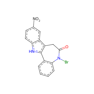 O=C1Cc2c([nH]c3ccc([N+](=O)[O-])cc23)-c2ccccc2N1Br